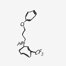 FC(F)(F)c1cccc(NCCCOc2ccccc2)c1